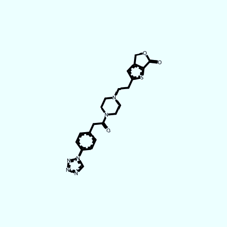 O=C1OCc2cc(CCN3CCN(C(=O)Cc4ccc(-n5cnnn5)cc4)CC3)sc21